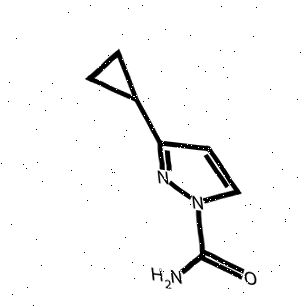 NC(=O)n1ccc(C2CC2)n1